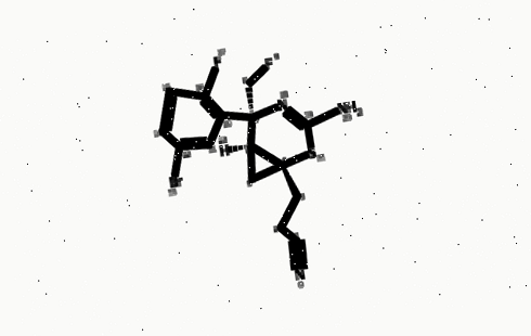 N#CCC[C@@]12C[C@H]1[C@@](CF)(c1cc(Br)ccc1F)N=C(N)S2